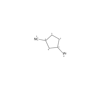 CC(C)C1CCC(C#N)C1